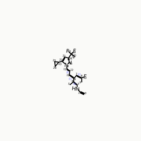 C#CN/C=C(C)/C(/C=C(\C)F)=C/C=C/n1nc(C(F)(F)F)cc1C1CC1